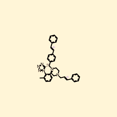 Cc1cccc(C)c1-n1nnnc1[C@H](c1ccc(/C=C/c2ccccc2)cc1)N1CCN(C/C=C/c2ccccc2)CC1